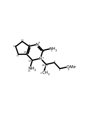 COCC[C@@H](C)N1C(N)=NC2=C(CCC2)C1N